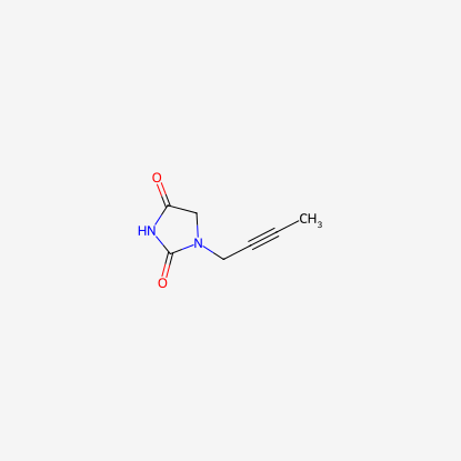 CC#CCN1CC(=O)NC1=O